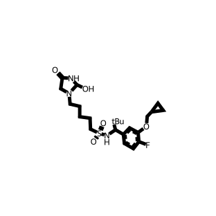 CC(C)(C)C(NS(=O)(=O)CCCCCN1CC(=O)NC1O)c1ccc(F)c(OCC2CC2)c1